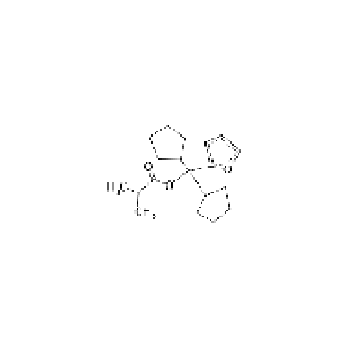 C=C(C)C(=O)OC(c1ccco1)(C1CCCC1)C1CCCC1